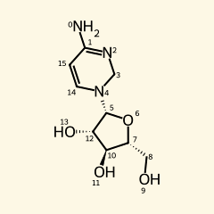 NC1=NCN([C@@H]2O[C@H](CO)[C@@H](O)[C@@H]2O)C=C1